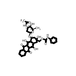 C[C@H]1O[C@@H](O[C@H]2CC(O)(COC(=O)Nc3ccccc3)Cc3c(O)c4c(c(O)c32)C(=O)c2ccccc2C4=O)C[C@H](NC(=O)C(F)(F)F)[C@H]1O